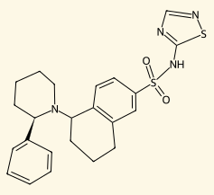 O=S(=O)(Nc1ncns1)c1ccc2c(c1)CCCC2N1CCCC[C@@H]1c1ccccc1